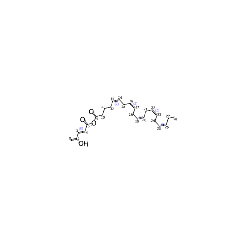 C=C(O)/C=C/C(=O)OC(=O)CCC/C=C\C/C=C\C/C=C\C/C=C\C/C=C\CC